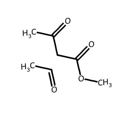 CC=O.COC(=O)CC(C)=O